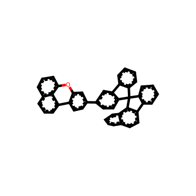 c1ccc2c(c1)-c1cc(-c3ccc4c(c3)Oc3cccc5cccc-4c35)ccc1C21c2ccccc2-c2ccc3ccccc3c21